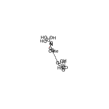 COc1ccc(-c2cc(-c3cc(CO)c(CO)c(CO)c3)on2)cc1OCCCCCCCCCCOc1ccc(C2NC(=O)c3ccccc3N2)cc1CO